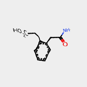 [NH]C(=O)Cc1ccccc1CC(=O)O